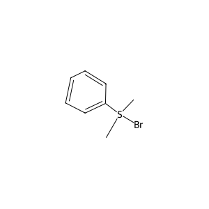 CS(C)(Br)c1ccccc1